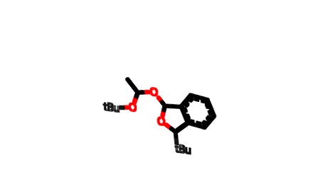 CC(OC1OC(C(C)(C)C)c2ccccc21)OC(C)(C)C